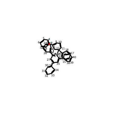 [O-]C1C(c2ccccc2)=CC=CC1(c1ccccc1)[n+]1c(-c2ccccc2)cc(-c2ccccc2)cc1-c1ccccc1